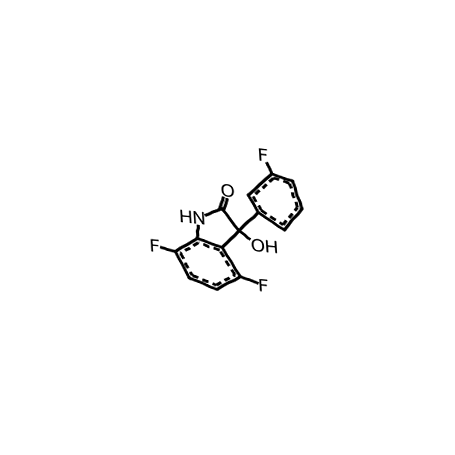 O=C1Nc2c(F)ccc(F)c2C1(O)c1cccc(F)c1